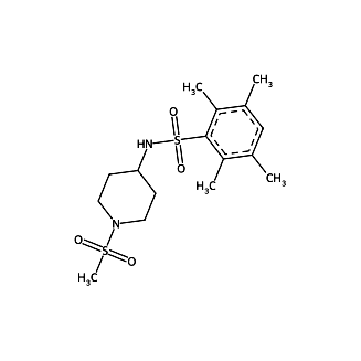 Cc1cc(C)c(C)c(S(=O)(=O)NC2CCN(S(C)(=O)=O)CC2)c1C